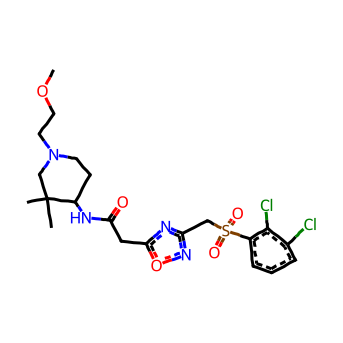 COCCN1CCC(NC(=O)Cc2nc(CS(=O)(=O)c3cccc(Cl)c3Cl)no2)C(C)(C)C1